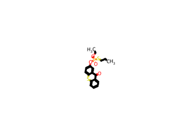 CCCSP(=O)(OCC)Oc1ccc2sc3ccccc3c(=O)c2c1